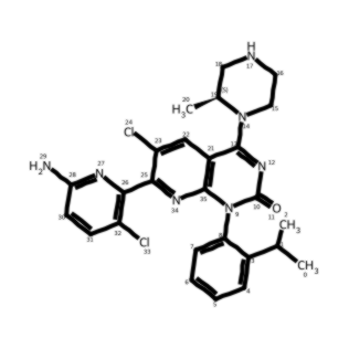 CC(C)c1ccccc1-n1c(=O)nc(N2CCNC[C@@H]2C)c2cc(Cl)c(-c3nc(N)ccc3Cl)nc21